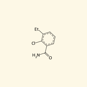 CCc1cccc(C(N)=O)c1Cl